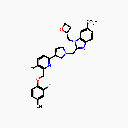 N#Cc1ccc(OCc2nc(C3CCN(Cc4nc5ccc(C(=O)O)cc5n4C[C@@H]4CCO4)C3)ccc2F)c(F)c1